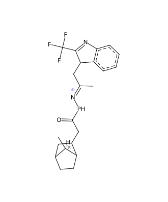 C/C(CC1C(C(F)(F)F)=Nc2ccccc21)=N\PC(=O)CC1CC2CCC1[C@@H]2C